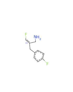 NC/C(=C\F)Cc1ccc(F)cc1